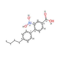 CCCCc1ccc(-c2ccc(C(=O)O)cc2[N+](=O)[O-])cc1